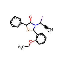 C#CC(I)N1C(=O)C(c2ccccc2)SC1c1ccccc1OCC